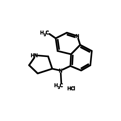 Cc1cnc2cccc(N(C)C3CCNC3)c2c1.Cl